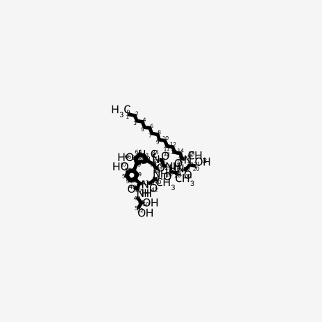 CCCCCCCCCCCCCCCC(=O)N(C)C(CO)C(=O)N[C@H](C)C(=O)NCC(=O)N(C)[C@@H]1C(=O)N[C@@H](C)C(=O)NC(C(=O)NCC(O)CO)c2ccc(O)c(c2)-c2cc1ccc2O